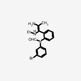 CCN/C(=C(/C)N)c1ccccc1N(C=O)c1cccc(Br)c1